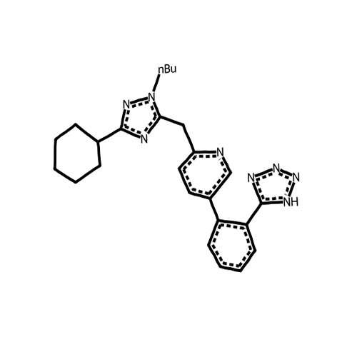 CCCCn1nc(C2CCCCC2)nc1Cc1ccc(-c2ccccc2-c2nnn[nH]2)cn1